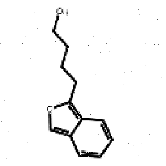 OCCCCc1occ2ccccc12